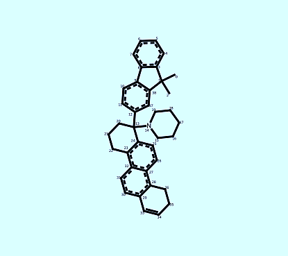 CC1(C)c2ccccc2-c2ccc(C3(N4CCCCC4)CCCc4c3ccc3c5c(ccc43)C=CCC5)cc21